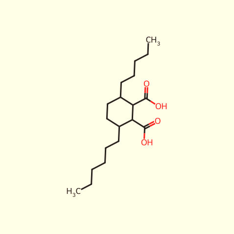 CCCCCCC1CCC(CCCCC)C(C(=O)O)C1C(=O)O